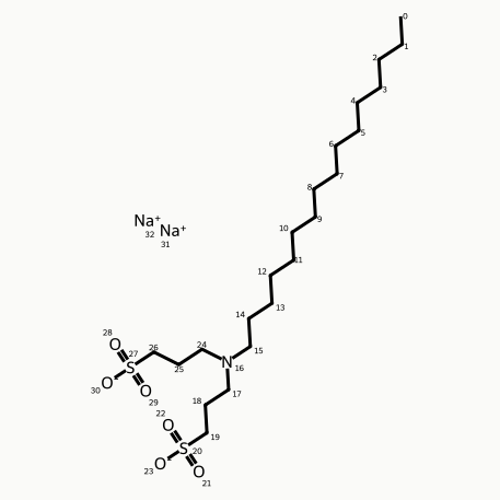 CCCCCCCCCCCCCCCCN(CCCS(=O)(=O)[O-])CCCS(=O)(=O)[O-].[Na+].[Na+]